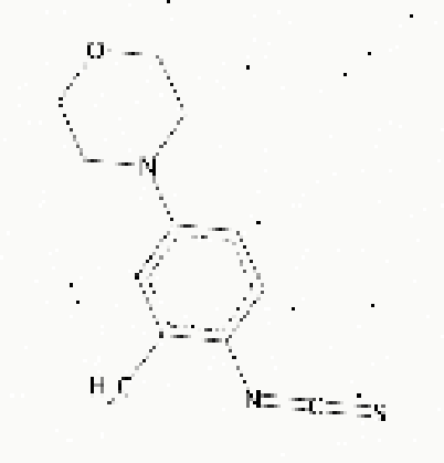 Cc1cc(N2CCOCC2)ccc1N=C=S